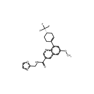 COc1cc(C2=CC[C@@H](C(F)(F)F)CC2)c2ncc(C(=O)NCc3ncco3)cc2c1